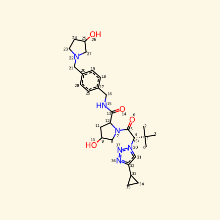 CC(C)(C)[C@@H](C(=O)N1CC(O)CC1C(=O)NCc1ccc(CN2CCC(O)C2)cc1)n1cc(C2CC2)nn1